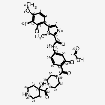 COc1ccc(-c2cnc(C(=O)Nc3ccc(C(=O)N4CCN(C(=O)C5(O)CCNCC5)CC4)c(Cl)c3)n2C)c(Cl)c1F.O=CO